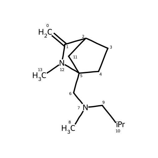 C=C1C2CCC(CN(C)CC(C)C)(C2)N1C